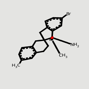 Cc1ccc2c(c1)CCC1(C2)Cc2ccc(Br)cc2C12N=C(N)N(C)O2